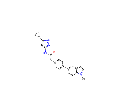 CC(=O)n1c[c]c2cc(-c3ccc(CC(=O)Nc4cc(C5CC5)[nH]n4)cc3)ccc21